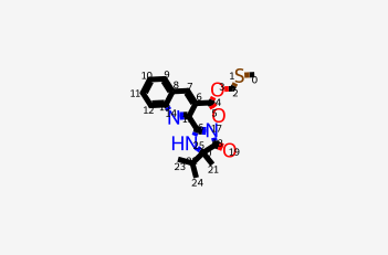 CSCOC(=O)c1cc2ccccc2nc1C1=NC(=O)C(C)(C(C)C)N1